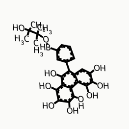 CC(C)(O)C(C)(C)OBc1cccc(-c2c(O)c3c(O)c(O)c(O)c(O)c3c3c(O)c(O)c(O)cc23)c1